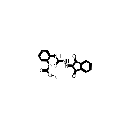 CC(=O)Oc1ccccc1NC(=O)NN=c1c(=O)c2ccccc2c1=O